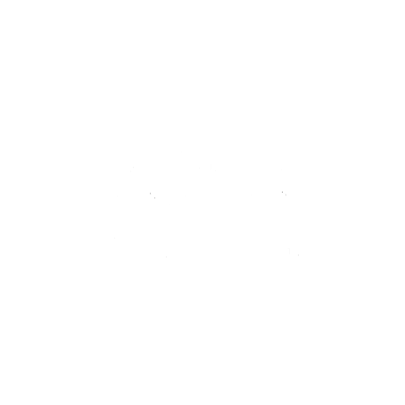 CCc1cc(Cc2cc(CC)c(N(C(C)CC)C(C)CC)c(CC)c2)cc(CC)c1N